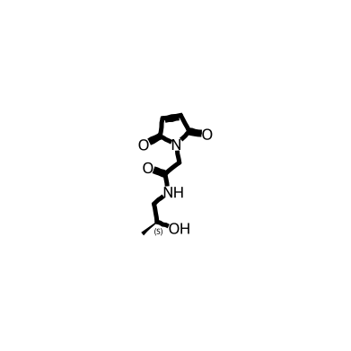 C[C@H](O)CNC(=O)CN1C(=O)C=CC1=O